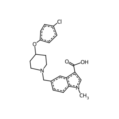 Cn1cc(C(=O)O)c2cc(CN3CCC(Oc4ccc(Cl)cc4)CC3)ccc21